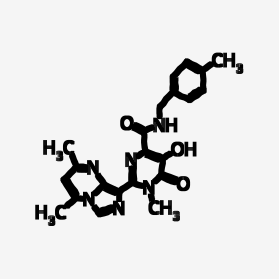 Cc1ccc(CNC(=O)c2nc(-c3ncn4c(C)cc(C)nc34)n(C)c(=O)c2O)cc1